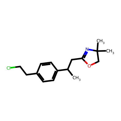 CC(CC1=NC(C)(C)CO1)c1ccc(CCCl)cc1